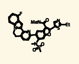 CCc1ncc(-c2oc3cc(N(C)S(C)(=O)=O)c(-c4ccc5c(n4)-c4cc6c(F)cccc6n4CC5)cc3c2C(=O)NC)s1